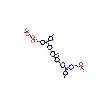 CCC(C)(C)OCCOC(=O)CCc1ccc(N(c2ccc(C)cc2)c2ccc(-c3ccc4c(c3)sc3cc(-c5ccc(N(c6ccc(C)cc6)c6ccc(CCC(=O)C(C)(C)CC)cc6)cc5)ccc34)cc2)cc1